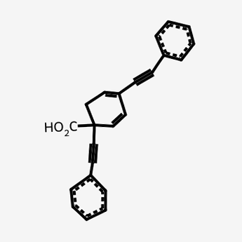 O=C(O)C1(C#Cc2ccccc2)C=CC(C#Cc2ccccc2)=CC1